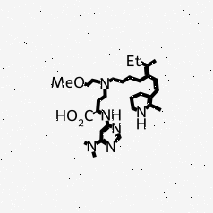 CC/C(C)=C(/C=C\C1=C(C)NCCC1)CCCCN(CCOC)CC[C@H](Nc1cc(N(C)C)ncn1)C(=O)O